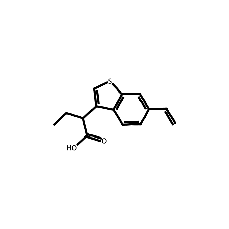 C=Cc1ccc2c(C(CC)C(=O)O)csc2c1